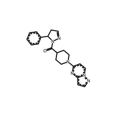 O=C(C1CCN(c2ccn3nccc3n2)CC1)N1N=CCC1c1ccccc1